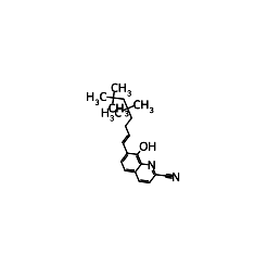 CC(C)(C)CC(C)(C)CCC=Cc1ccc2ccc(C#N)nc2c1O